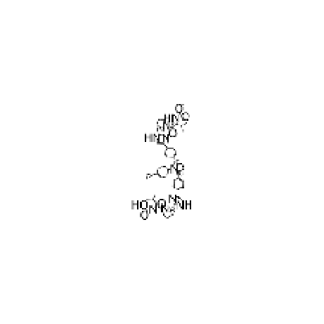 COC(=O)N[C@H](C(=O)N1CCC[C@H]1c1nc(-c2ccc([C@@H]3CC[C@H](c4ccc(-c5c[nH]c([C@@H]6CCCN6O[C@@H](C(C)C)N(C)C(=O)O)n5)cc4)N3c3ccc(C4CC4)cc3)cc2)c[nH]1)C(C)C